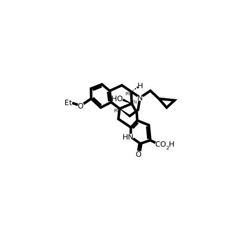 CCOc1ccc2c(c1)[C@]13CCN(CC4CC4)[C@H](C2)[C@]1(O)Cc1cc(C(=O)O)c(=O)[nH]c1C3